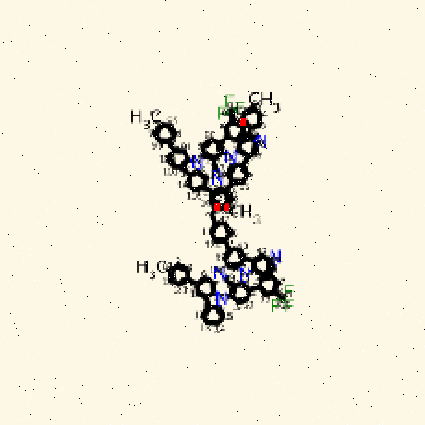 Cc1ccc(-c2ccc3c(c2)c2ccccc2n3-c2ccc(-c3cc(C#N)cc(C(F)(F)F)c3)c(-n3c4ccccc4c4cc(-c5ccc(Cc6ccc(-c7ccc8c9ccc(-c%10ccc(C)cc%10)cc9n(-c9c(-c%10cc(C#N)cc(C(F)(F)F)c%10)ccc(-n%10c%11cc(-c%12ccc(C)cc%12)ccc%11c%11ccc(-c%12ccc(C)cc%12)cc%11%10)c9C#N)c8c7)cc6)cc5)ccc43)c2C#N)cc1